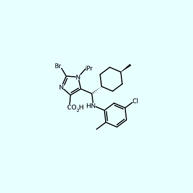 Cc1ccc(Cl)cc1NC(c1c(C(=O)O)nc(Br)n1C(C)C)[C@H]1CC[C@H](C)CC1